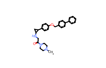 CN1CCN(C(=O)CNC2CC2c2ccc(OCc3ccc(-c4ccccc4)cc3)cc2)CC1